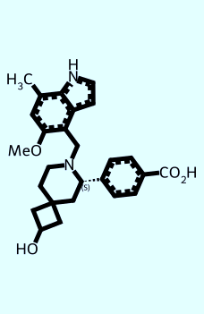 COc1cc(C)c2[nH]ccc2c1CN1CCC2(CC(O)C2)C[C@H]1c1ccc(C(=O)O)cc1